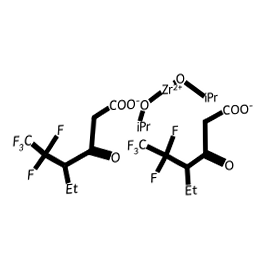 CC(C)[O][Zr+2][O]C(C)C.CCC(C(=O)CC(=O)[O-])C(F)(F)C(F)(F)F.CCC(C(=O)CC(=O)[O-])C(F)(F)C(F)(F)F